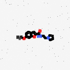 COc1ccc2cc(C(=O)NCCN3CCCC3)oc2c1